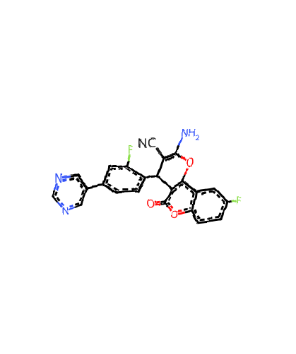 N#CC1=C(N)Oc2c(c(=O)oc3ccc(F)cc23)C1c1ccc(-c2cncnc2)cc1F